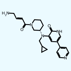 NCC=CC(=O)N1CCC[C@H](N(CC2CC2)c2cc(-c3ccncc3)c[nH]c2=O)C1